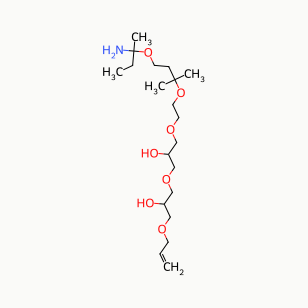 C=CCOCC(O)COCC(O)COCCOC(C)(C)CCOC(C)(N)CC